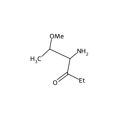 CCC(=O)C(N)C(C)OC